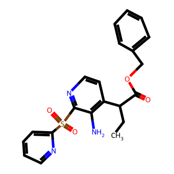 CCC(C(=O)OCc1ccccc1)c1ccnc(S(=O)(=O)c2ccccn2)c1N